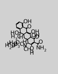 CN(C)[C@@H]1C(O)=C(C(N)=O)C(=O)[C@@]2(O)C(O)=C3C(=O)c4c(O)cccc4[C@@](C)(O)[C@H]3C[C@@H]12.O.O.O